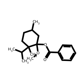 COC1(OC(=O)c2ccccc2)CC(C)CCC1(C)C(C)C